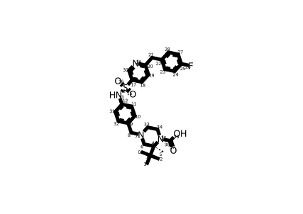 CC(C)(C)[C@@]1(C)CN(Cc2ccc(NS(=O)(=O)c3ccc(Cc4ccc(F)cc4)nc3)cc2)CCN1C(=O)O